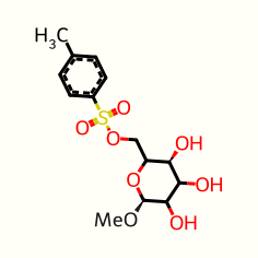 CO[C@H]1OC(COS(=O)(=O)c2ccc(C)cc2)[C@@H](O)C(O)C1O